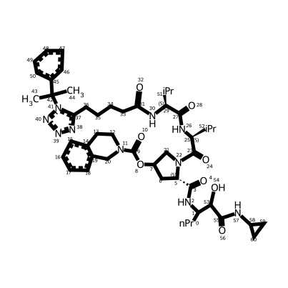 CCCC(NC(=O)[C@@H]1CC(OC(=O)N2CCc3ccccc3C2)CN1C(=O)[C@@H](NC(=O)[C@@H](NC(=O)CCCCc1nnnn1C(C)(C)c1ccccc1)C(C)C)C(C)C)C(O)C(=O)NC1CC1